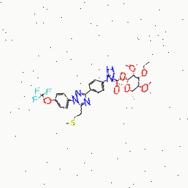 CCO[C@@H]1[C@@H](OC)[C@H](C)O[C@@H](OC(=O)Nc2ccc(-c3nc(CCSC)n(-c4ccc(OC(F)(F)F)cc4)n3)cc2)[C@@H]1OC